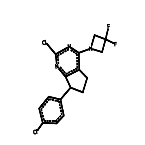 FC1(F)CN(c2nc(Cl)nc3c2CCC3c2ccc(Cl)cc2)C1